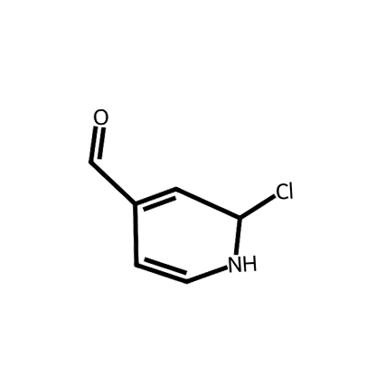 O=CC1=CC(Cl)NC=C1